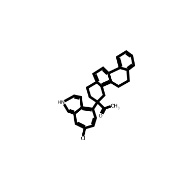 CC(=O)C1(C2=C3C=CNC=C3C=C(Cl)C=C2)CCc2ccc3c(c2C1)CCc1ccccc1-3